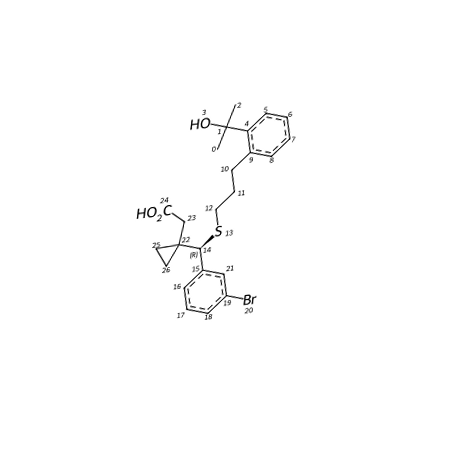 CC(C)(O)c1ccccc1CCCS[C@@H](c1cccc(Br)c1)C1(CC(=O)O)CC1